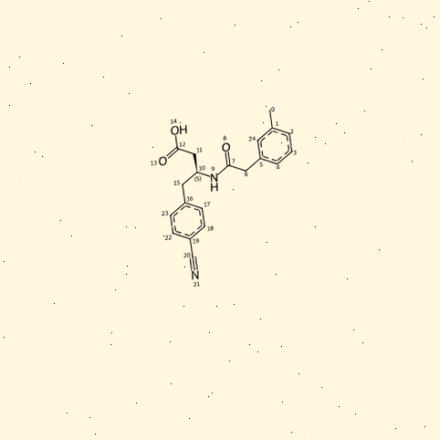 Cc1cccc(CC(=O)N[C@H](CC(=O)O)Cc2ccc(C#N)cc2)c1